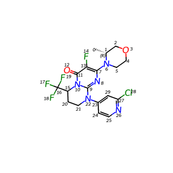 C[C@@H]1COCCN1c1nc2n(c(=O)c1F)C(C(F)(F)F)CCN2c1ccnc(Cl)c1